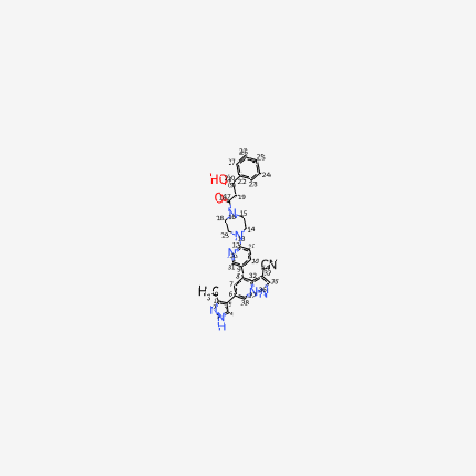 Cc1n[nH]cc1-c1cc(-c2ccc(N3CCN(C(=O)C[C@H](O)c4ccccc4)CC3)nc2)c2c(C#N)cnn2c1